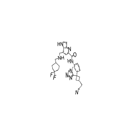 Cn1cnnc1C1(c2cccc(NC(=O)c3cc(CNCC4CCC(F)(F)CC4)c4[nH]ccc4n3)c2)CC(CC#N)C1